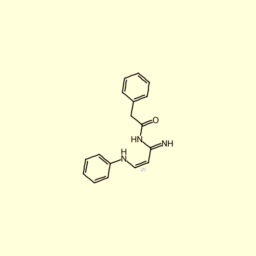 N=C(/C=C\Nc1ccccc1)NC(=O)Cc1ccccc1